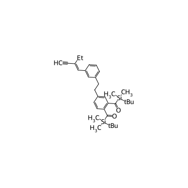 C#C/C(=C/c1cccc(CCc2ccc(C(=O)[Si](C)(C)C(C)(C)C)c(C(=O)[Si](C)(C)C(C)(C)C)c2)c1)CC